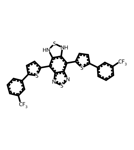 FC(F)(F)c1cccc(-c2ccc(-c3c4c(c(-c5ccc(-c6cccc(C(F)(F)F)c6)s5)c5nsnc35)NSN4)s2)c1